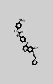 COc1ccc(NC(=O)Nc2ccc(Oc3ccnc4cc(OCCN5CCCC5)c(C#N)cc34)cc2)cc1